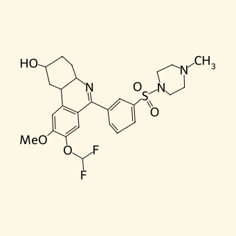 COc1cc2c(cc1OC(F)F)C(c1cccc(S(=O)(=O)N3CCN(C)CC3)c1)=NC1CCC(O)CC21